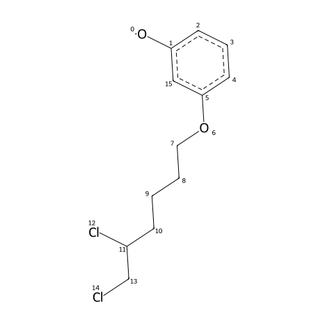 [O]c1cccc(OCCCCC(Cl)CCl)c1